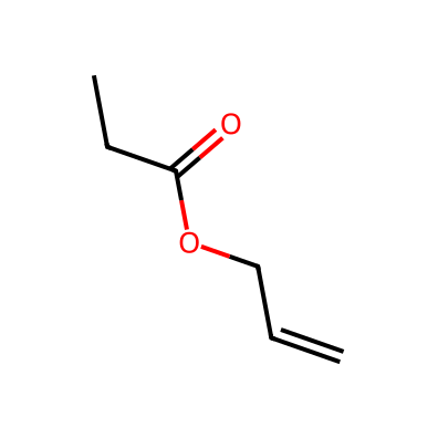 C=CCOC(=O)CC